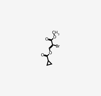 COC(=O)C(Br)=COC(=O)C1CC1